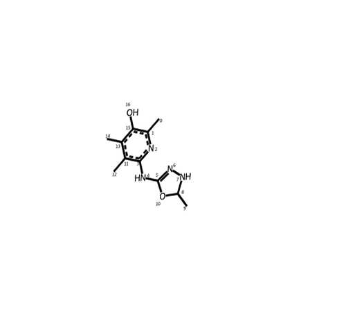 Cc1nc(NC2=NNC(C)O2)c(C)c(C)c1O